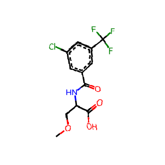 COCC(NC(=O)c1cc(Cl)cc(C(F)(F)F)c1)C(=O)O